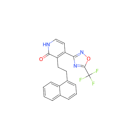 O=c1[nH]ccc(-c2noc(C(F)(F)F)n2)c1CCc1cccc2ccccc12